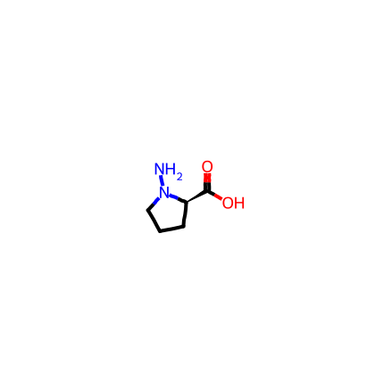 NN1CCC[C@@H]1C(=O)O